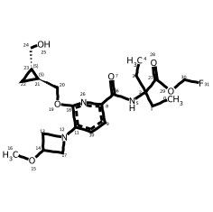 CCC(CC)(NC(=O)c1ccc(N2CC(OC)C2)c(OC[C@H]2C[C@@H]2CO)n1)C(=O)OCF